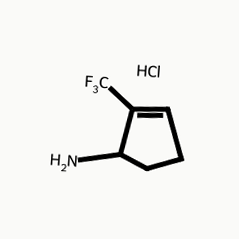 Cl.NC1CCC=C1C(F)(F)F